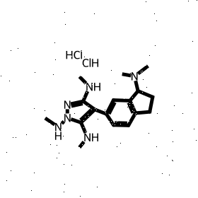 CNc1nn(NC)c(NC)c1-c1ccc2c(c1)C(N(C)C)CC2.Cl.Cl